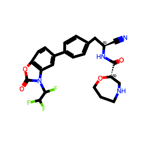 N#C[C@H](Cc1ccc(-c2ccc3oc(=O)n(C(F)C(F)F)c3c2)cc1)NC(=O)[C@@H]1CNCCCO1